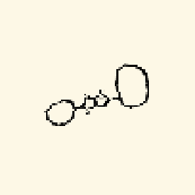 c1c(C2CCCCCCCCCC2)sc2nc(C3CCCCCCCC3)sc12